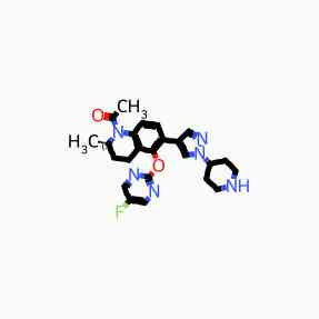 CC(=O)N1c2ccc(-c3cnn(C4CCNCC4)c3)c(Oc3ncc(F)cn3)c2CC[C@@H]1C